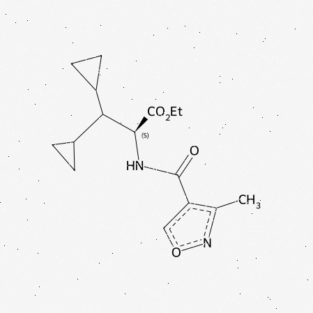 CCOC(=O)[C@@H](NC(=O)c1conc1C)C(C1CC1)C1CC1